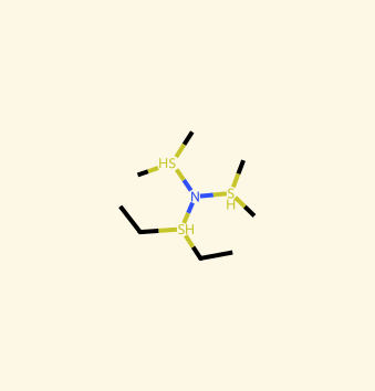 CC[SH](CC)N([SH](C)C)[SH](C)C